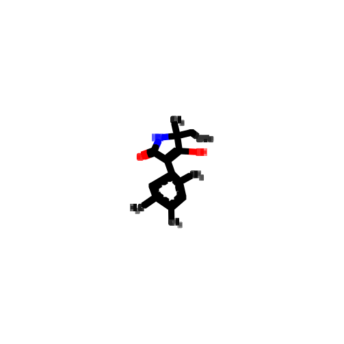 COCC1(C)NC(=O)C(c2cc(C)c(C)cc2C)=C1O